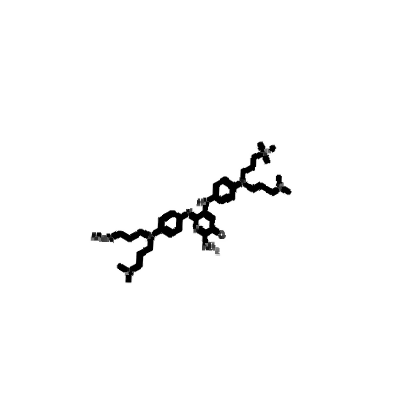 CNCCCN(CCCN(C)C)c1ccc(N=C2N=C(N)C(=O)C=C2Nc2ccc(N(CCCN(C)C)CCC[N+](C)(C)C)cc2)cc1